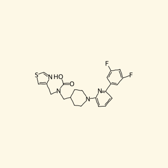 O=C(O)N(Cc1cscn1)CC1CCN(c2cccc(-c3cc(F)cc(F)c3)n2)CC1